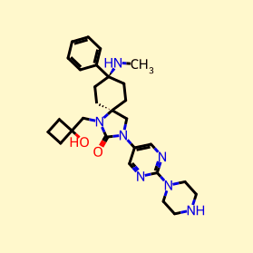 CN[C@]1(c2ccccc2)CC[C@]2(CC1)CN(c1cnc(N3CCNCC3)nc1)C(=O)N2CC1(O)CCC1